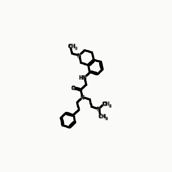 CCN1CCc2cccc(NCC(=O)N(CCc3ccccc3)CCN(C)C)c2C1